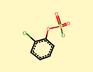 O=S(=O)(Cl)Oc1ccccc1Cl